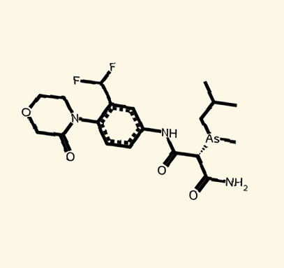 CC(C)C[As](C)[C@H](C(N)=O)C(=O)Nc1ccc(N2CCOCC2=O)c(C(F)F)c1